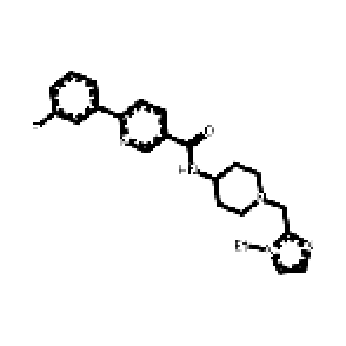 CCn1ccnc1CN1CCC(NC(=O)c2ccc(-c3cccc(F)c3)nc2)CC1